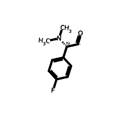 CN(C)[C@H]([C]=O)c1ccc(F)cc1